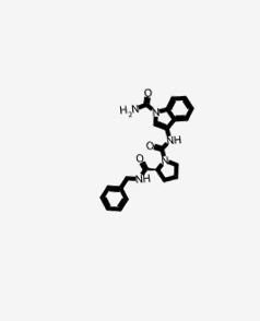 NC(=O)n1cc(NC(=O)N2CCC[C@H]2C(=O)NCc2ccccc2)c2ccccc21